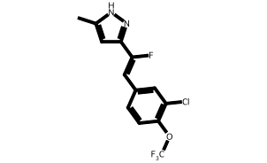 Cc1cc(C(F)=Cc2ccc(OC(F)(F)F)c(Cl)c2)n[nH]1